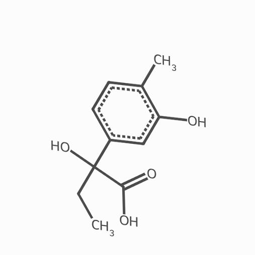 CCC(O)(C(=O)O)c1ccc(C)c(O)c1